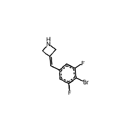 Fc1cc(C=C2CNC2)cc(F)c1Br